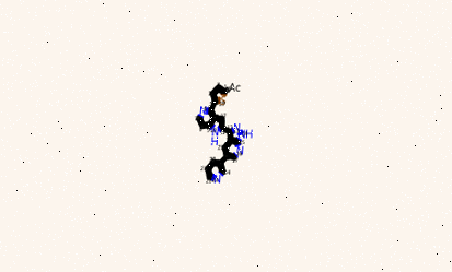 CC(=O)c1ccc(-c2nccc3[nH]c(-c4n[nH]c5ncc(-c6cccnc6)cc45)cc23)s1